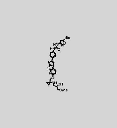 COC[C@@H](O)CNC1(COc2ccc3c(n2)sc2nc(-c4ccc(NC(=O)Nc5cc(C(C)(C)C)on5)cc4)cn23)CC1